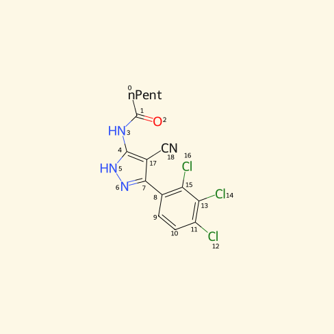 CCCCCC(=O)Nc1[nH]nc(-c2ccc(Cl)c(Cl)c2Cl)c1C#N